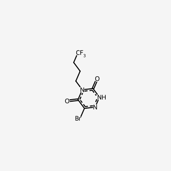 O=c1[nH]nc(Br)c(=O)n1CCCC(F)(F)F